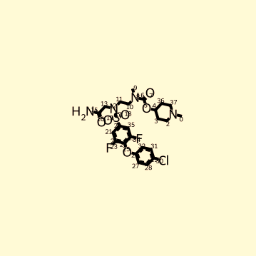 CN1CCC(OC(=O)N(C)CCN(CC(N)=O)S(=O)(=O)c2cc(F)c(Oc3ccc(Cl)cc3)c(F)c2)CC1